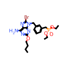 CCCCOc1nc(N)c2nc(Br)n(Cc3cccc(CP(=O)(OCC)OCC)c3)c2n1